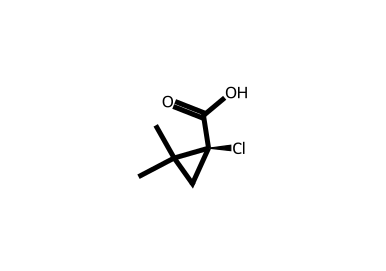 CC1(C)C[C@@]1(Cl)C(=O)O